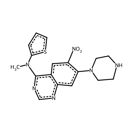 CN(c1cccs1)c1ncnc2cc(N3CCNCC3)c([N+](=O)[O-])cc12